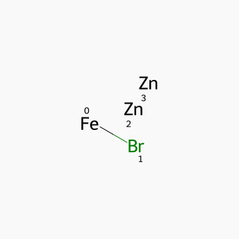 [Fe][Br].[Zn].[Zn]